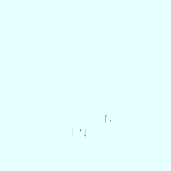 Cc1cc(C2CCCCC2)c(C2CCCCC2)c(C)c1C(=N)N